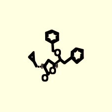 O=C1O[C@H](C(Cc2ccccc2)OCc2ccccc2)C[C@H]1CC1CC1